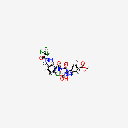 COC(=O)c1ccc(N(NC(=O)O)C(=O)NC(=O)c2cc(CNC(=O)C(F)(F)F)ccc2Cl)cc1C